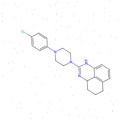 Clc1ccc(N2CCN(C3=NC4CCCc5cccc(c54)N3)CC2)cc1